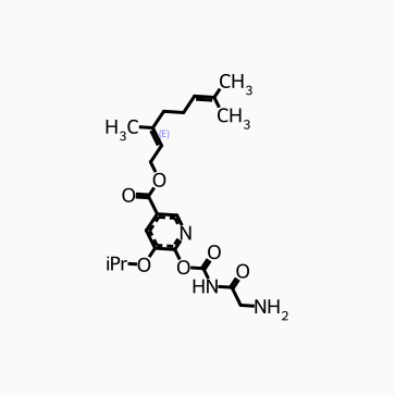 CC(C)=CCC/C(C)=C/COC(=O)c1cnc(OC(=O)NC(=O)CN)c(OC(C)C)c1